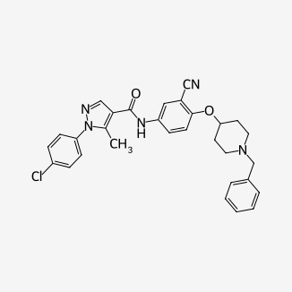 Cc1c(C(=O)Nc2ccc(OC3CCN(Cc4ccccc4)CC3)c(C#N)c2)cnn1-c1ccc(Cl)cc1